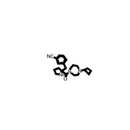 N#Cc1cccc(CC2(C(=O)N3CCCN(C4CCC4)CC3)CCCN2)c1